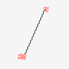 O=C(O)CCCCCCCCCCCCCCCCCCCCCCCCCCCOP(=O)(O)O